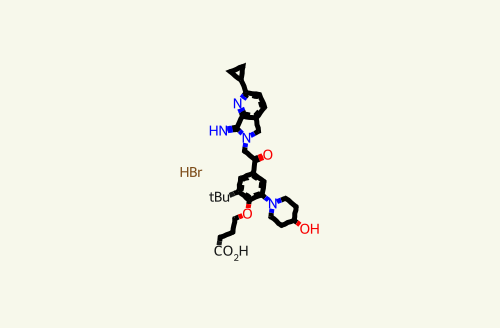 Br.CC(C)(C)c1cc(C(=O)CN2Cc3ccc(C4CC4)nc3C2=N)cc(N2CCC(O)CC2)c1OCCCC(=O)O